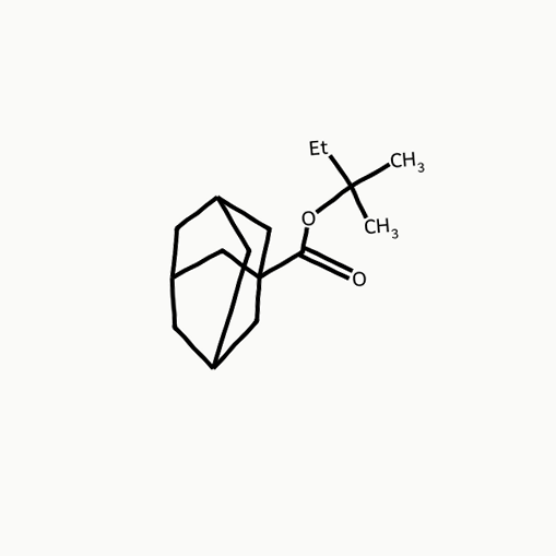 CCC(C)(C)OC(=O)C12CC3CC(CC(C3)C1)C2